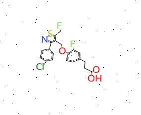 O=C(O)CCc1ccc(OCc2c(-c3ccc(Cl)cc3)nsc2CF)c(F)c1